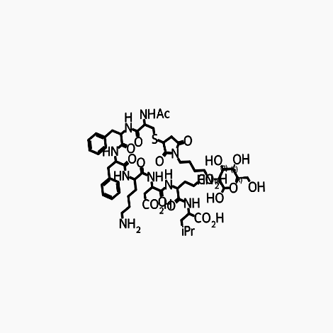 CC(=O)NC(CSC1CC(=O)N(CCCCN[C@H]2C(O)O[C@H](CO)[C@@H](O)[C@@H]2O)C1=O)C(=O)NC(Cc1ccccc1)C(=O)NC(Cc1ccccc1)C(=O)NC(CCCCN)C(=O)NC(CC(=O)O)C(=O)NC(CCC(=O)O)C(=O)NC(CC(C)C)C(=O)O